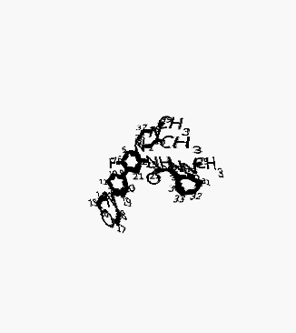 CC1CN(c2cc(F)c(-c3ccc(N4CCOCC4)cc3)cc2NC(=O)c2nn(C)c3ccccc23)CCN1C